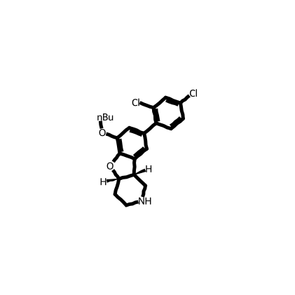 CCCCOc1cc(-c2ccc(Cl)cc2Cl)cc2c1O[C@H]1CCNC[C@@H]21